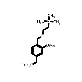 CCOC(=O)Cc1ccc(COCC[Si](C)(C)C)c(OC)c1